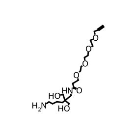 C#CCOCCOCCOCCOCCC(=O)NCC(CO)(CO)CCCCN